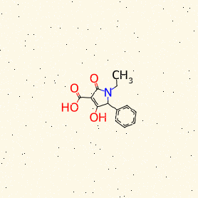 CCN1C(=O)C(C(=O)O)=C(O)C1c1ccccc1